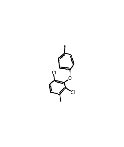 Cc1ccc(Oc2c(Cl)ccc(C)c2Cl)cc1